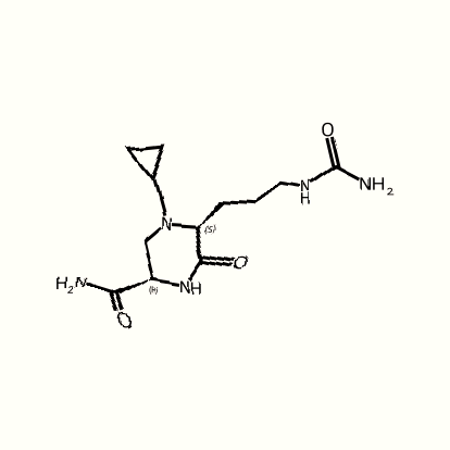 NC(=O)NCCC[C@H]1C(=O)N[C@@H](C(N)=O)CN1C1CC1